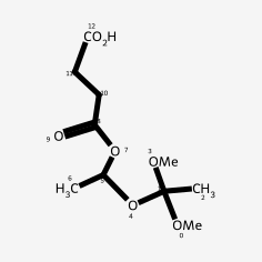 COC(C)(OC)OC(C)OC(=O)CCC(=O)O